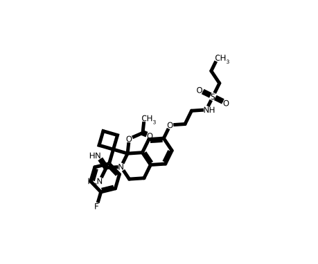 CCCS(=O)(=O)NCCOc1ccc2c(c1)C(OC(C)=O)(C1(c3ccc(F)cc3)CCC1)N(C(=N)N)CC2